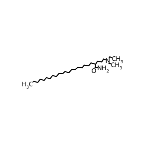 CCCCCCCCCCCCCCCCCCCCC(CCCN(CC)CC)C(N)=O